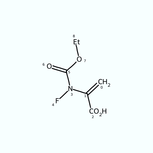 C=C(C(=O)O)N(F)C(=O)OCC